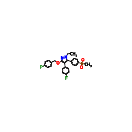 CCn1nc(OCc2ccc(F)cc2)c(-c2ccc(F)cc2)c1-c1ccc(S(C)(=O)=O)cc1